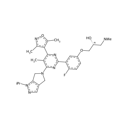 CNC[C@@H](O)COc1ccc(F)c(-c2nc(-c3c(C)noc3C)c(C)c(N3Cc4cnn(C(C)C)c4C3)n2)c1